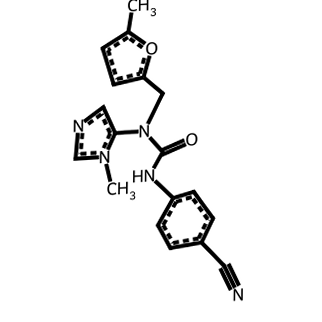 Cc1ccc(CN(C(=O)Nc2ccc(C#N)cc2)c2cncn2C)o1